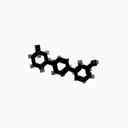 Clc1nccc(-c2ccc(C3CNCCO3)cc2)n1